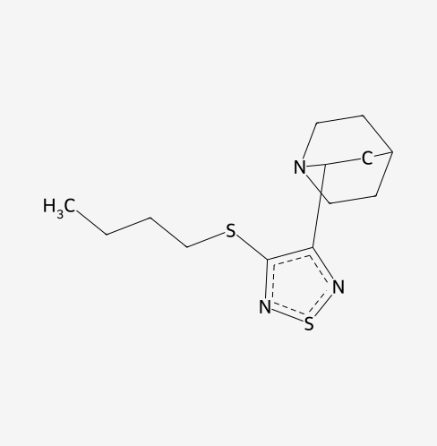 CCCCSc1nsnc1C1CC2CCN1CC2